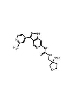 CNC1(CNC(=O)Nc2cc3[nH]nc(-c4ccnc(C)c4)c3cn2)CCOC1